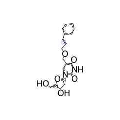 O=c1[nH]c(=O)n([C@H]2CC(O)[C@@H](CO)O2)cc1COC/C=C/c1ccccc1